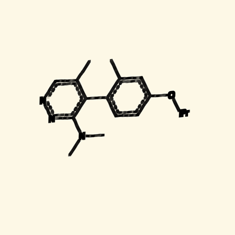 Cc1cc(OC(C)C)ccc1-c1c(C)cnnc1N(C)C